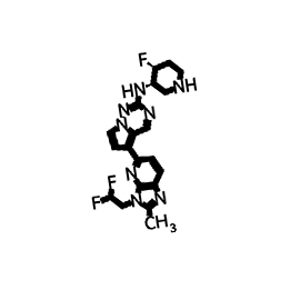 Cc1nc2ccc(-c3ccn4nc(N[C@H]5CNCC[C@H]5F)ncc34)nc2n1CC(F)F